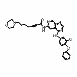 O=C(C#CCCCCN1CCOCC1)Nc1cc2c(Nc3ccc(Oc4ccccn4)c(Cl)c3)ncnc2cn1